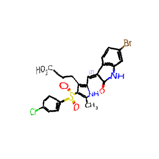 Cc1[nH]c(/C=C2\C(=O)Nc3cc(Br)ccc32)c(CCC(=O)O)c1S(=O)(=O)c1ccc(Cl)cc1